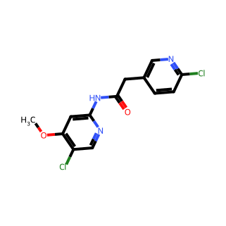 COc1cc(NC(=O)Cc2ccc(Cl)nc2)ncc1Cl